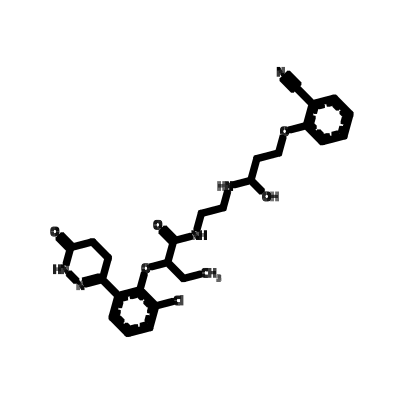 CCC(Oc1c(Cl)cccc1C1=NNC(=O)CC1)C(=O)NCCNC(O)CCOc1ccccc1C#N